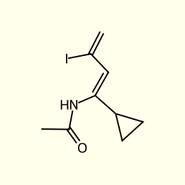 C=C(I)/C=C(\NC(C)=O)C1CC1